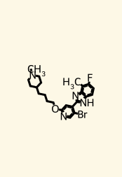 Cc1c(F)ccc2[nH]c(-c3cc(OCCCCC4CCN(C)CC4)ncc3Br)nc12